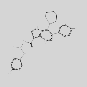 O=C(N[C@@H](Cc1ccc(O)cc1)C(=O)O)c1cnn2c(C3CCCCC3)c(-c3ccc(F)cc3)cnc12